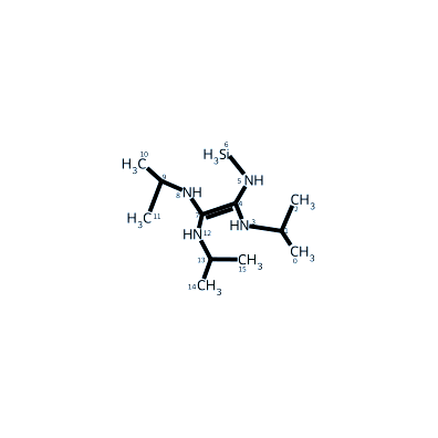 CC(C)NC(N[SiH3])=C(NC(C)C)NC(C)C